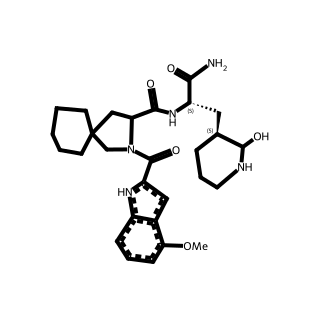 COc1cccc2[nH]c(C(=O)N3CC4(CCCCC4)CC3C(=O)N[C@@H](C[C@@H]3CCCNC3O)C(N)=O)cc12